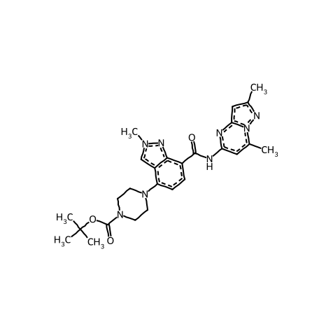 Cc1cc2nc(NC(=O)c3ccc(N4CCN(C(=O)OC(C)(C)C)CC4)c4cn(C)nc34)cc(C)n2n1